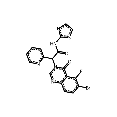 O=C(Nc1nccs1)C(c1ccccn1)n1cnc2ccc(Br)c(F)c2c1=O